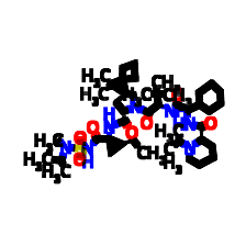 CC[C@@H]1C[C@]1(NC(=O)[C@@H]1C[C@@]2(CN1C(=O)[C@@H](NC(=O)[C@@H](NC(=O)[C@@H]1CCCCN1C(C)C)C1CCCCC1)C(C)(C)C)C(C)(C)C21CCC1)C(=O)NS(=O)(=O)N(C)C(C)C